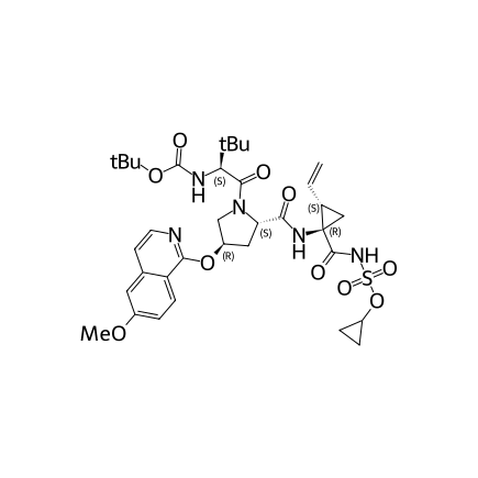 C=C[C@@H]1C[C@]1(NC(=O)[C@@H]1C[C@@H](Oc2nccc3cc(OC)ccc23)CN1C(=O)[C@@H](NC(=O)OC(C)(C)C)C(C)(C)C)C(=O)NS(=O)(=O)OC1CC1